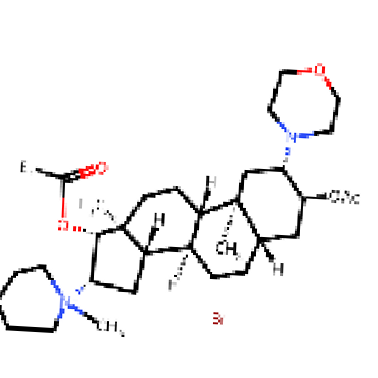 CCC(=O)O[C@H]1[C@@H]([N+]2(C)CCCCC2)C[C@H]2[C@@H]3CC[C@H]4C[C@H](OC(C)=O)[C@@H](N5CCOCC5)C[C@]4(C)[C@H]3CC[C@@]21C.[Br-]